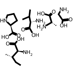 CC(C)[C@H](N)C(=O)O.CC[C@H](C)[C@H](N)C(=O)O.C[C@H](N)C(=O)O.NCC(=O)O.O=C(O)[C@@H]1CCCN1